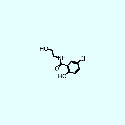 O=C(NCCO)c1cc(Cl)ccc1O